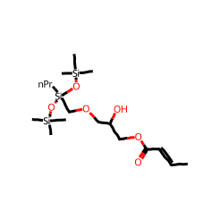 CC=CC(=O)OCC(O)COC[Si](CCC)(O[Si](C)(C)C)O[Si](C)(C)C